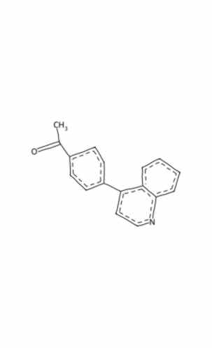 CC(=O)c1ccc(-c2ccnc3ccccc23)cc1